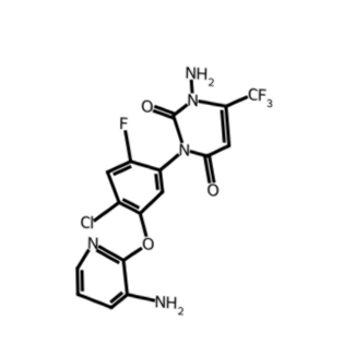 Nc1cccnc1Oc1cc(-n2c(=O)cc(C(F)(F)F)n(N)c2=O)c(F)cc1Cl